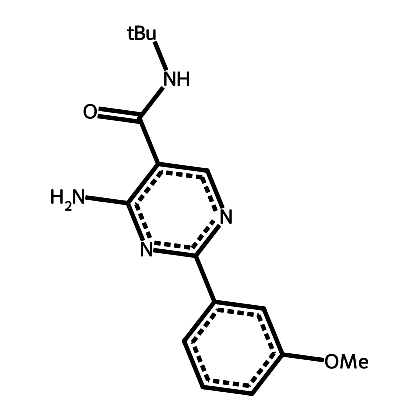 COc1cccc(-c2ncc(C(=O)NC(C)(C)C)c(N)n2)c1